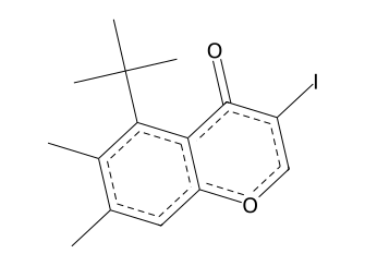 Cc1cc2occ(I)c(=O)c2c(C(C)(C)C)c1C